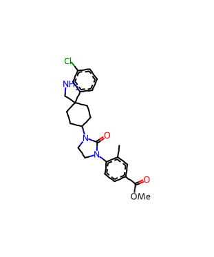 COC(=O)c1ccc(N2CCN(C3CCC(CN)(c4cccc(Cl)c4)CC3)C2=O)c(C)c1